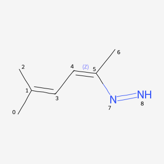 CC(C)=C/C=C(/C)N=N